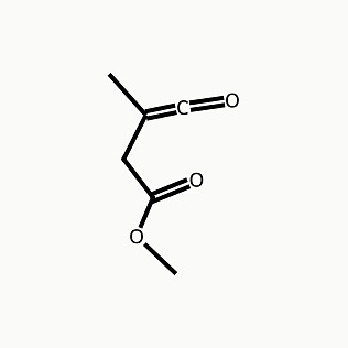 COC(=O)CC(C)=C=O